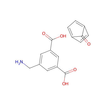 NCc1cc(C(=O)O)cc(C(=O)O)c1.O=C1C2=CC=C1C=C2